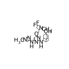 CN1CC(F)(F)CC1COc1cc(Nc2cn(C)cn2)nc(NC2C3CC4CC2CC(O)(C4)C3)n1